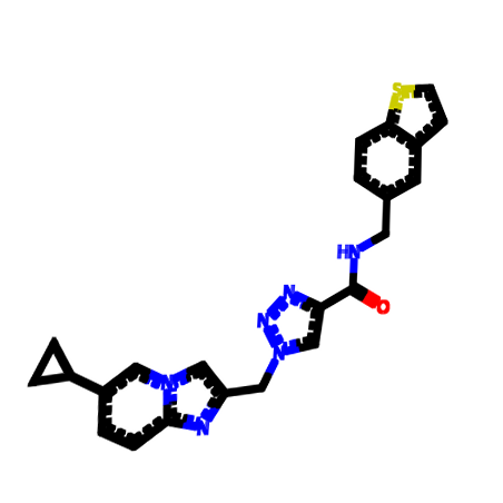 O=C(NCc1ccc2sccc2c1)c1cn(Cc2cn3cc(C4CC4)ccc3n2)nn1